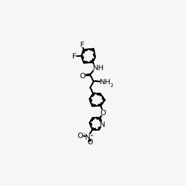 NC(Cc1ccc(Oc2ccc([N+](=O)[O-])cn2)cc1)C(=O)Nc1ccc(F)c(F)c1